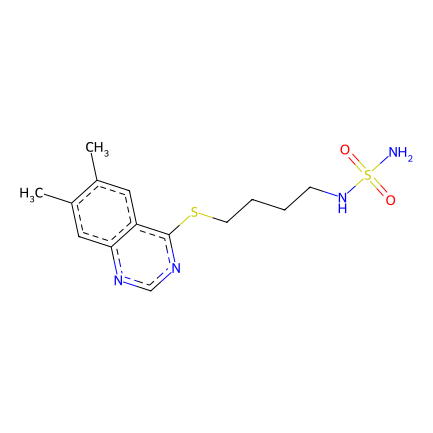 Cc1cc2ncnc(SCCCCNS(N)(=O)=O)c2cc1C